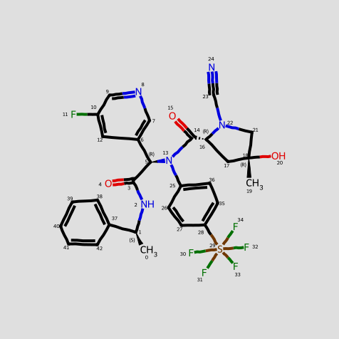 C[C@H](NC(=O)[C@@H](c1cncc(F)c1)N(C(=O)[C@H]1C[C@@](C)(O)CN1C#N)c1ccc(S(F)(F)(F)(F)F)cc1)c1ccccc1